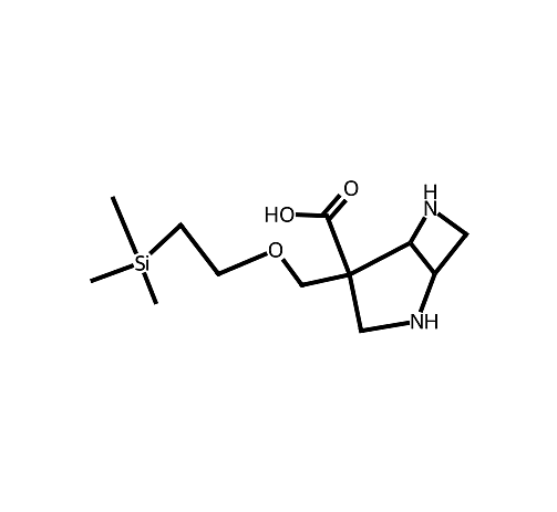 C[Si](C)(C)CCOCC1(C(=O)O)CNC2CNC21